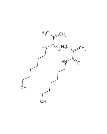 C=C(C)C(=O)NCCCCCCO.C=C(C)C(=O)NCCCCCCO